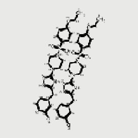 CCOc1ccc(S(=O)(=O)N2CCN(c3nc(Cc4cccc(Cl)c4)no3)CC2)cc1.CCOc1ccc(S(=O)(=O)N2CCN(c3nc(Cc4cccc(Cl)c4)no3)CC2)cc1